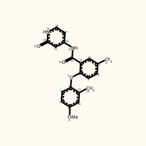 COc1ccc(Oc2ccc(C(F)(F)F)cc2C(=O)Nc2cc[nH]c(=O)c2)c(C)c1